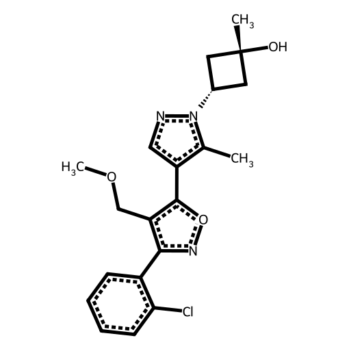 COCc1c(-c2ccccc2Cl)noc1-c1cnn([C@H]2C[C@@](C)(O)C2)c1C